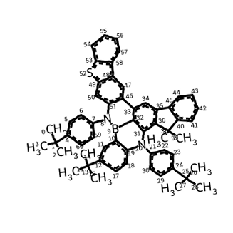 CC(C)(C)c1ccc(N2B3c4cc(C(C)(C)C)ccc4N(c4ccc(C(C)(C)C)cc4)c4c3c(cc3c4C(C)(C)c4ccccc4-3)-c3cc4c(cc32)sc2ccccc24)cc1